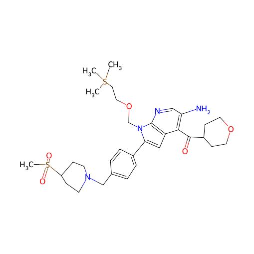 CS(C)(C)CCOCn1c(-c2ccc(CN3CCC(S(C)(=O)=O)CC3)cc2)cc2c(C(=O)C3CCOCC3)c(N)cnc21